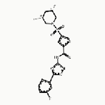 C[C@@H]1C[C@H](C)CN(S(=O)(=O)c2csc(C(=O)Nc3nnc(-c4cccc(F)c4)o3)c2)C1